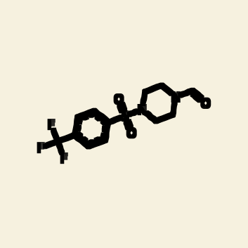 O=CN1CCN(S(=O)(=O)c2ccc(C(F)(F)F)cc2)CC1